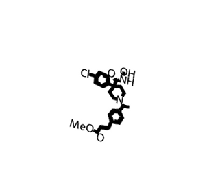 COC(=O)/C=C/c1ccc(C(C)N2CCC(C(=O)NO)(c3ccc(Cl)cc3)CC2)cc1